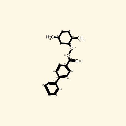 CC1CCC(C)[C](OOC(=O)c2ccc(-c3ccccc3)cc2)C1